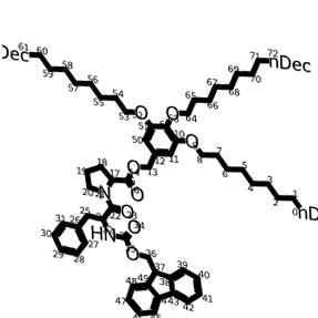 CCCCCCCCCCCCCCCCCCOc1cc(COC(=O)C2CCCN2C(=O)C(Cc2ccccc2)NC(=O)OCC2c3ccccc3-c3ccccc32)cc(OCCCCCCCCCCCCCCCCCC)c1OCCCCCCCCCCCCCCCCCC